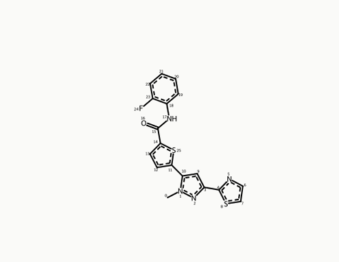 Cn1nc(-c2nccs2)cc1-c1ccc(C(=O)Nc2ccccc2F)s1